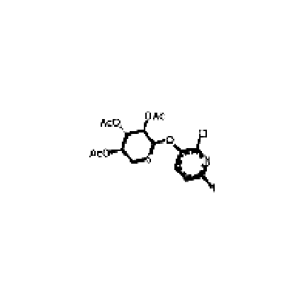 CC(=O)O[C@@H]1[C@@H](OC(C)=O)[C@@H](Oc2ccc(I)nc2Cl)SC[C@H]1OC(C)=O